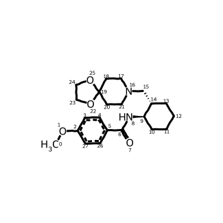 COc1ccc(C(=O)N[C@@H]2CCCC[C@H]2CN2CCC3(CC2)OCCO3)cc1